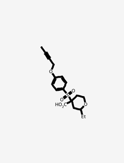 CC#CCOc1ccc(S(=O)(=O)C2(C(=O)O)CCOC(CC)C2)cc1